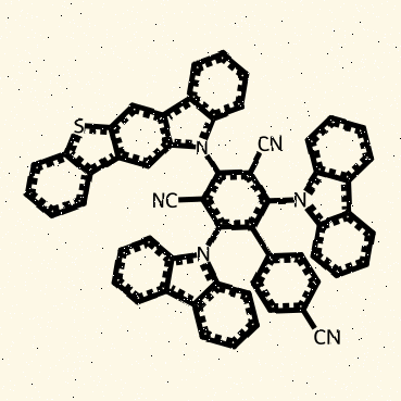 N#Cc1ccc(-c2c(-n3c4ccccc4c4ccccc43)c(C#N)c(-n3c4ccccc4c4cc5sc6ccccc6c5cc43)c(C#N)c2-n2c3ccccc3c3ccccc32)cc1